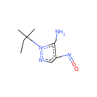 CC(C)(C)n1ncc(N=O)c1N